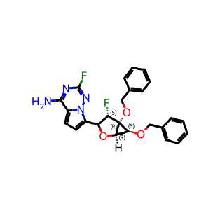 Nc1nc(F)nn2c(C3O[C@@H]4[C@H](OCc5ccccc5)[C@]4(OCc4ccccc4)[C@H]3F)ccc12